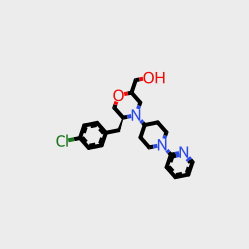 OCC1CN(C2CCN(c3ccccn3)CC2)[C@@H](Cc2ccc(Cl)cc2)CO1